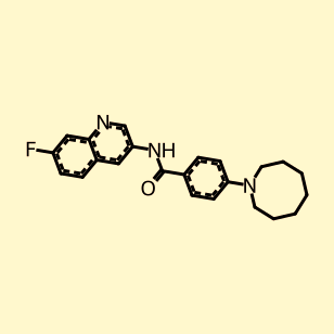 O=C(Nc1cnc2cc(F)ccc2c1)c1ccc(N2CCCCCCC2)cc1